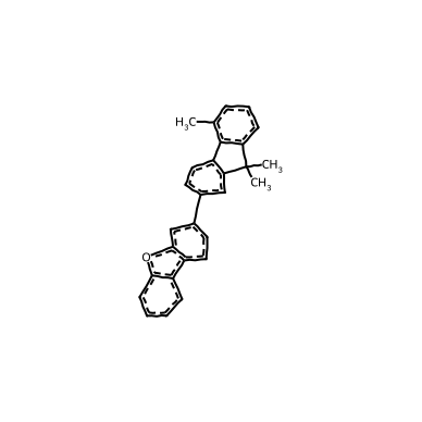 Cc1cccc2c1-c1ccc(-c3ccc4c(c3)oc3ccccc34)cc1C2(C)C